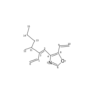 C=C/C(=C\c1ncoc1C=C)C(C)CCC